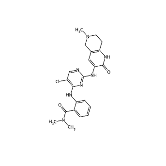 CN1CCc2[nH]c(=O)c(Nc3ncc(Cl)c(Nc4ccccc4C(=O)N(C)C)n3)cc2C1